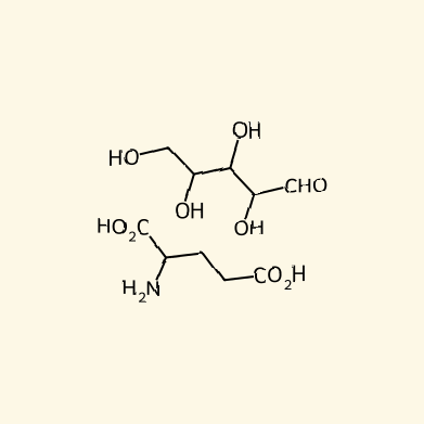 NC(CCC(=O)O)C(=O)O.O=CC(O)C(O)C(O)CO